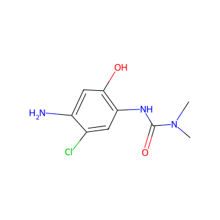 CN(C)C(=O)Nc1cc(Cl)c(N)cc1O